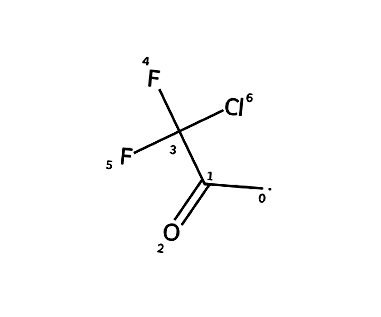 [CH2]C(=O)C(F)(F)Cl